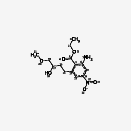 CCOC(=O)c1c(N)cc([N+](=O)[O-])cc1CCC(O)COC